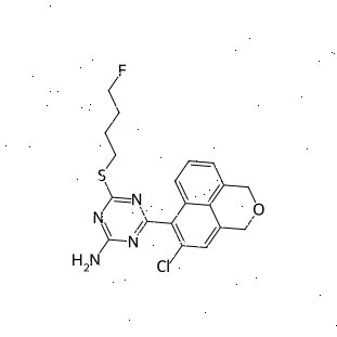 Nc1nc(SCCCCF)nc(-c2c(Cl)cc3c4c(cccc24)COC3)n1